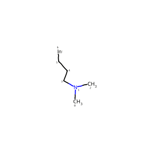 CN(C)CC[CH2][In]